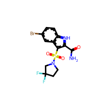 NC(=O)c1[nH]c2ccc(Br)cc2c1S(=O)(=O)N1CCC(F)(F)C1